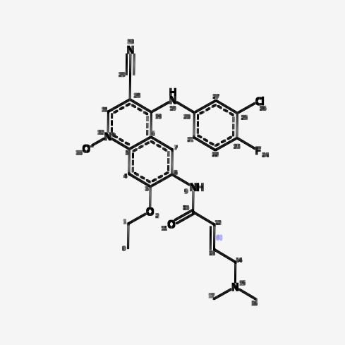 CCOc1cc2c(cc1NC(=O)/C=C/CN(C)C)c(Nc1ccc(F)c(Cl)c1)c(C#N)c[n+]2[O-]